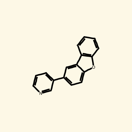 [c]1cccc2oc3ccc(-c4cccnc4)cc3c12